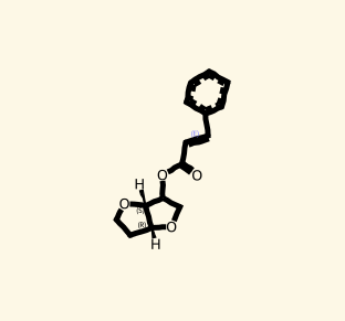 O=C(/C=C/c1ccccc1)OC1CO[C@@H]2CCO[C@H]12